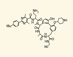 Cc1nc(-c2ccc(C(C)(C)C)cc2)nc(C)c1C(=O)NC(CCN)C(=O)N(C)C1C(=O)NC(C)C(=O)NC(C(=O)NCC#N)Cc2ccc(OC3CCNCC3)c(c2)-c2cc1ccc2O